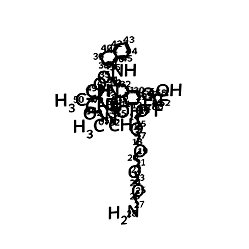 CC(C(=O)NC(C(=O)N1Cc2cc(OCCOCCOCCOCCOCCN)ccc2C[C@H]1C(=O)N[C@@H]1CCCc2ccccc21)C(C)(C)C)N(C)C(=O)O.O=C(O)C(F)(F)F